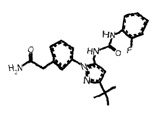 CC(C)(C)c1cc(NC(=O)Nc2ccccc2F)n(-c2cccc(CC(N)=O)c2)n1